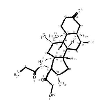 CCC(=O)O[C@@]1(C(=O)CO)[C@@H](C)C[C@H]2[C@@H]3C[C@H](F)[C@@H]4CC(=O)CC[C@]4(C)[C@@]3(F)[C@@H](O)C[C@@]21C